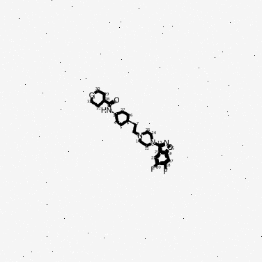 O=C(N[C@H]1CC[C@H](CCN2CCN(c3noc4cc(F)c(F)cc34)CC2)CC1)C1CCOCC1